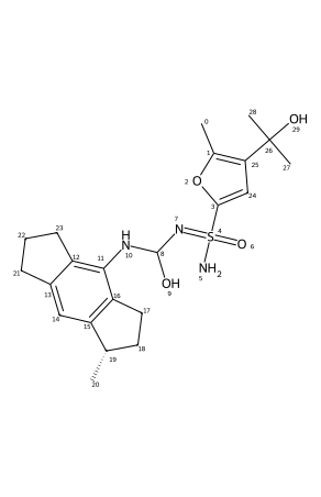 Cc1oc(S(N)(=O)=NC(O)Nc2c3c(cc4c2CC[C@@H]4C)CCC3)cc1C(C)(C)O